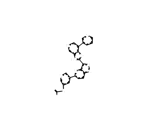 CCC(=O)Nc1cncc(-c2ccc3[nH]nc(-c4nc5c(-c6cccnc6)cncc5[nH]4)c3n2)c1